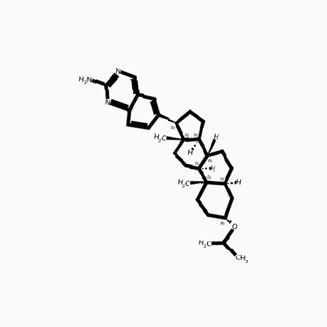 CC(C)O[C@@H]1CC[C@@]2(C)[C@@H](CC[C@@H]3[C@@H]2CC[C@]2(C)[C@@H](c4ccc5nc(N)ncc5c4)CC[C@@H]32)C1